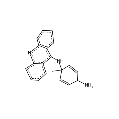 CC1(Nc2c3ccccc3nc3ccccc23)C=CC(N)C=C1